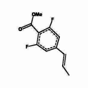 CC=Cc1cc(F)c(C(=O)OC)c(F)c1